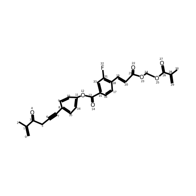 C=C(C)C(=O)CC#Cc1ccc(OC(=O)c2ccc(/C=C/C(=O)OCOC(=O)C(=C)C)c(F)c2)cc1